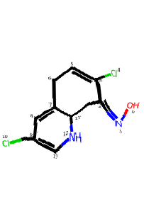 ON=C1C(Cl)=CCC2=CC(Cl)=CNC21